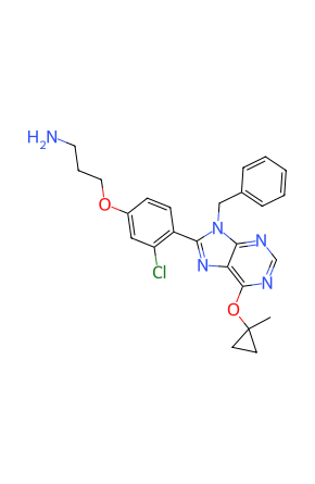 CC1(Oc2ncnc3c2nc(-c2ccc(OCCCN)cc2Cl)n3Cc2ccccc2)CC1